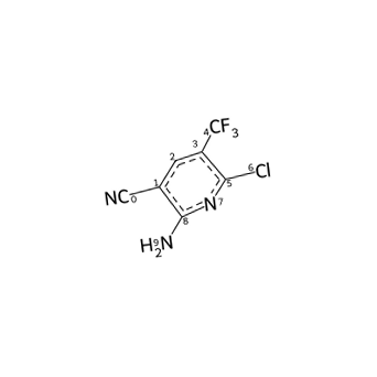 N#Cc1cc(C(F)(F)F)c(Cl)nc1N